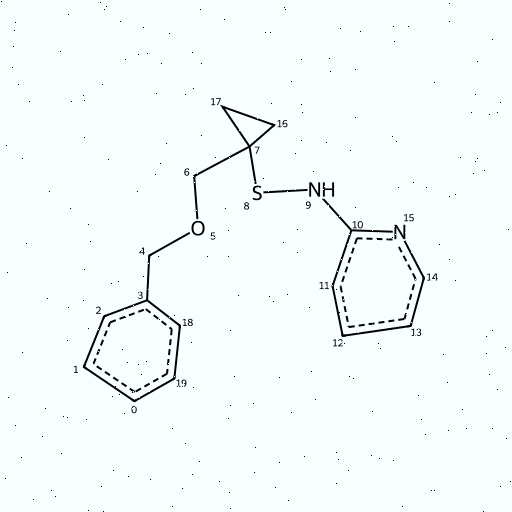 c1ccc(COCC2(SNc3ccccn3)CC2)cc1